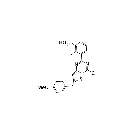 COc1ccc(Cn2cc3nc(-c4cccc(C(=O)O)c4C)nc(Cl)c3n2)cc1